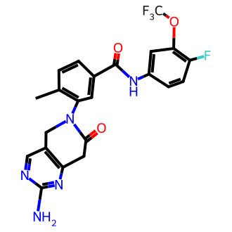 Cc1ccc(C(=O)Nc2ccc(F)c(OC(F)(F)F)c2)cc1N1Cc2cnc(N)nc2CC1=O